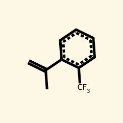 C=C(C)c1ccccc1C(F)(F)F